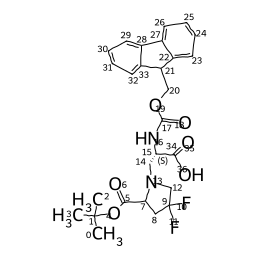 CC(C)(C)OC(=O)C1CC(F)(F)CN1C[C@H](NC(=O)OCC1c2ccccc2-c2ccccc21)C(=O)O